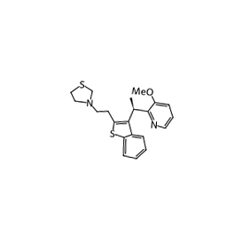 COc1cccnc1[C@H](C)c1c(CCN2CCSC2)sc2ccccc12